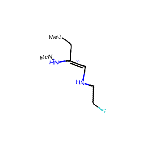 CNN/C(=C\NCCF)COC